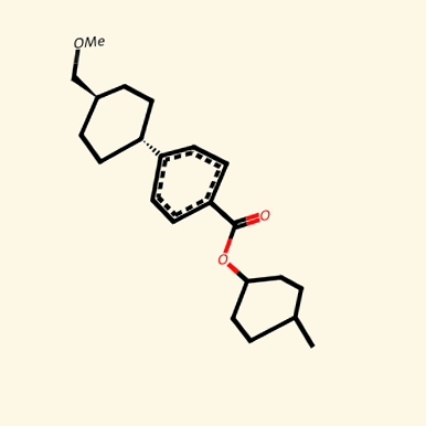 COC[C@H]1CC[C@H](c2ccc(C(=O)OC3CCC(C)CC3)cc2)CC1